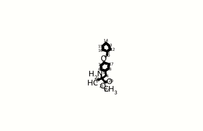 C#CC(N)(Cc1ccc(OCc2ccccc2)cc1)C(=O)OC